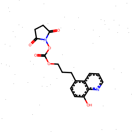 O=C(OCCCc1ccc(O)c2ncccc12)ON1C(=O)CCC1=O